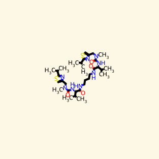 CC(C)c1nc(CN(C)C(=O)N[C@H](C(=O)NCCCCNC(=O)[C@@H](NC(=O)N(C)Cc2csc(C(C)C)n2)C(C)C)C(C)C)cs1